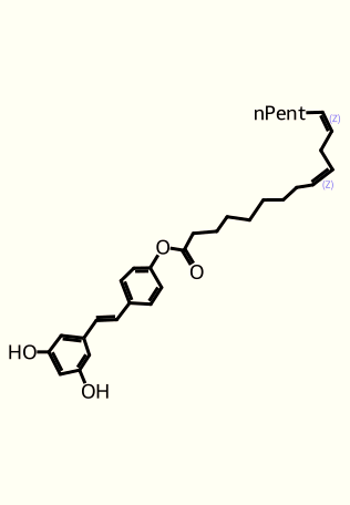 CCCCC/C=C\C/C=C\CCCCCCCC(=O)Oc1ccc(C=Cc2cc(O)cc(O)c2)cc1